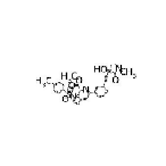 COC(=O)c1nc(-c2cccc(C#C[C@]3(O)CCN(C)C3=O)c2)cc2ccn(S(=O)(=O)c3ccc(C)cc3)c12